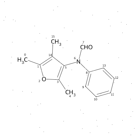 Cc1oc(C)c(N(C=O)c2ccccc2)c1C